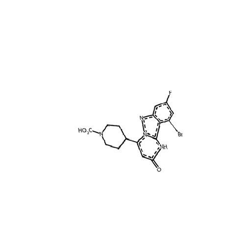 O=C(O)N1CCC(c2cc(=O)[nH]c3c4c(Br)cc(F)cc4nn23)CC1